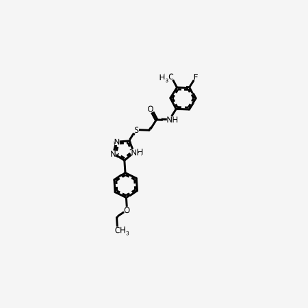 CCOc1ccc(-c2nnc(SCC(=O)Nc3ccc(F)c(C)c3)[nH]2)cc1